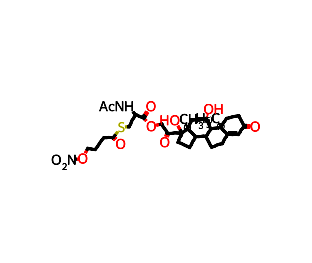 CC(=O)NC(CSC(=O)CCCO[N+](=O)[O-])C(=O)OCC(=O)C1(O)CCC2C3CCC4=CC(=O)CC[C@]4(C)C3[C@@H](O)C[C@@]21C